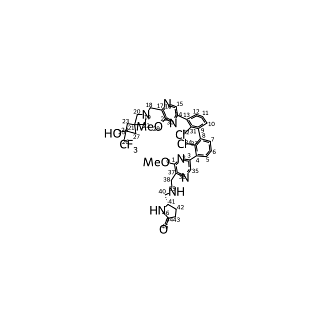 COc1nc(-c2cccc(-c3cccc(-c4cnc(CN5CC6(C5)CC(O)(C(F)(F)F)C6)c(OC)n4)c3Cl)c2Cl)cnc1CNC[C@@H]1CCC(=O)N1